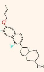 CC=CCOc1cc2ccc(C3CCC4CC(CCCCCC)CCC4C3)c(F)c2cc1F